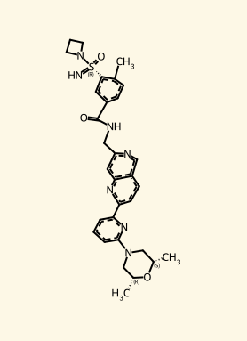 Cc1ccc(C(=O)NCc2cc3nc(-c4cccc(N5C[C@@H](C)O[C@@H](C)C5)n4)ccc3cn2)cc1[S@@](=N)(=O)N1CCC1